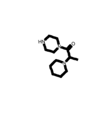 CC(C(=O)N1CCNCC1)N1CCCCC1